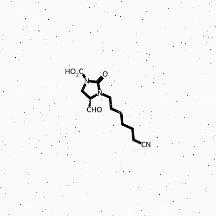 N#CCCCCCCN1C(=O)N(C(=O)O)C[C@@H]1C=O